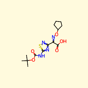 CC(C)(C)OC(=O)Nc1nc(C(=NOC2CCCC2)C(=O)O)ns1